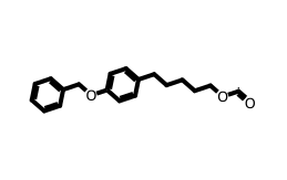 O=[C]OCCCCCc1ccc(OCc2ccccc2)cc1